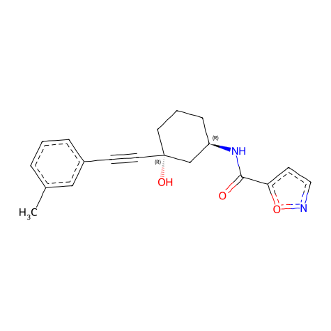 Cc1cccc(C#C[C@@]2(O)CCC[C@@H](NC(=O)c3ccno3)C2)c1